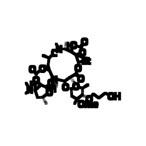 CC[C@H]1OC(=O)[C@H](C)[C@@H](O[C@H]2C[C@@](C)(OC)[C@@H](OCCCO)[C@H](C)O2)[C@H](C)[C@H]2O[C@@H]3O[C@H](C)C[C@H](N(C)C)[C@H]3OC(=O)O[C@]2(C)C[C@@H](C)CN(C)[C@H](C)[C@H]2OC(=O)O[C@@]21C